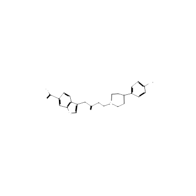 NC(=O)c1ccc2c(CC(=S)CCN3CCC(c4ccc(O)cc4)CC3)c[nH]c2c1